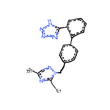 CCCc1nc(CC)n(Cc2ccc(-c3ccccc3-c3nnn[nH]3)cc2)n1